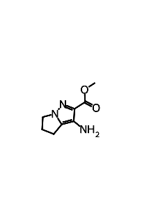 COC(=O)c1nn2c(c1N)CCC2